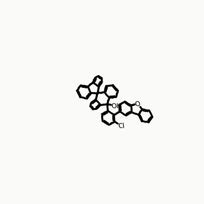 OC1(c2cccc(Cl)c2-c2ccc3oc4ccccc4c3c2)c2ccccc2C2(c3ccccc3-c3ccccc32)c2ccccc21